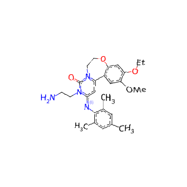 CCOc1cc2c(cc1OC)-c1c/c(=N\c3c(C)cc(C)cc3C)n(CCN)c(=O)n1CCO2